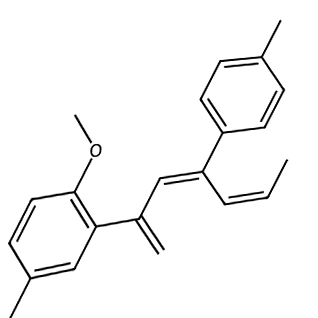 C=C(/C=C(\C=C/C)c1ccc(C)cc1)c1cc(C)ccc1OC